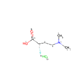 CN(C)CC[C@H](F)C(=O)O.Cl